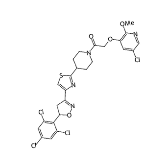 COc1ncc(Cl)cc1OCC(=O)N1CCC(c2nc(C3=NOC(c4c(Cl)cc(Cl)cc4Cl)C3)cs2)CC1